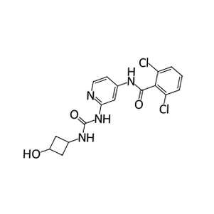 O=C(Nc1cc(NC(=O)c2c(Cl)cccc2Cl)ccn1)NC1CC(O)C1